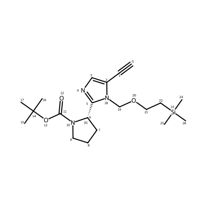 C#Cc1cnc([C@@H]2CCCN2C(=O)OC(C)(C)C)n1COCC[Si](C)(C)C